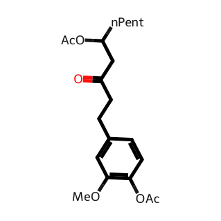 CCCCCC(CC(=O)CCc1ccc(OC(C)=O)c(OC)c1)OC(C)=O